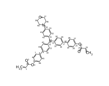 C=CC(=O)Oc1ccc(-c2ccc(N(c3ccc(-c4ccc(OC(=O)C=C)cc4)cc3)c3ccc(N4CCOCC4)cc3)cc2)cc1